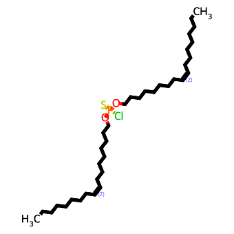 CCCCCCCC/C=C\CCCCCCCCOP(=S)(Cl)OCCCCCCCC/C=C\CCCCCCCC